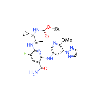 COc1ncc(Nc2nc(N[C@H](C)[C@@H](NC(=O)OC(C)(C)C)C3CC3)c(F)cc2C(N)=O)cc1-n1nccn1